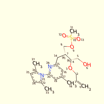 C=CCO[C@@H](CO)[C@@H](COS(C)(=O)=O)Cc1cc(C)cc(-n2c(C)ccc2C)n1